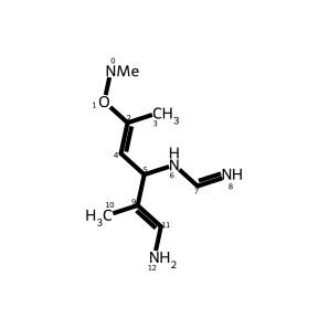 CNO/C(C)=C/C(NC=N)/C(C)=C/N